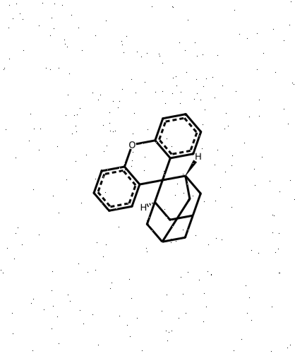 c1ccc2c(c1)Oc1ccccc1C21[C@H]2CC3CC(C[C@H]1C3)C2